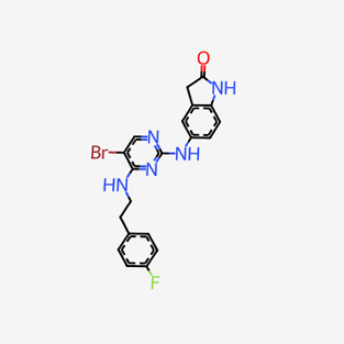 O=C1Cc2cc(Nc3ncc(Br)c(NCCc4ccc(F)cc4)n3)ccc2N1